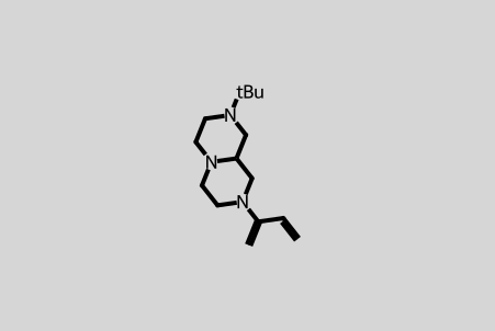 C=CC(=C)N1CCN2CCN(C(C)(C)C)CC2C1